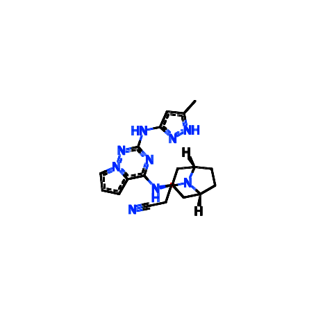 Cc1cc(Nc2nc(N[C@@H]3C[C@H]4CC[C@@H](C3)N4CCC#N)c3cccn3n2)n[nH]1